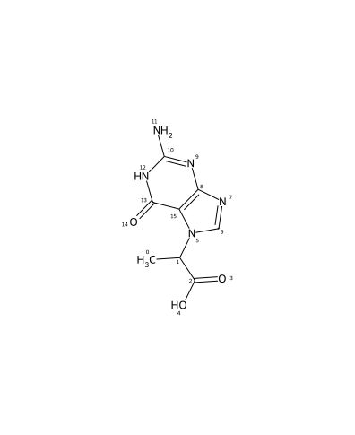 CC(C(=O)O)n1cnc2nc(N)[nH]c(=O)c21